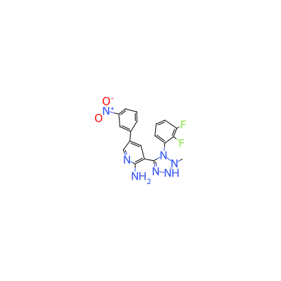 CN1NN=C(c2cc(-c3cccc([N+](=O)[O-])c3)cnc2N)N1c1cccc(F)c1F